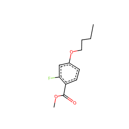 CCCCOc1ccc(C(=O)OC)c(F)c1